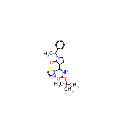 CC(c1ccccc1)N1CCC([C@@H](NC(=O)OC(C)(C)C)c2nccs2)C1=O